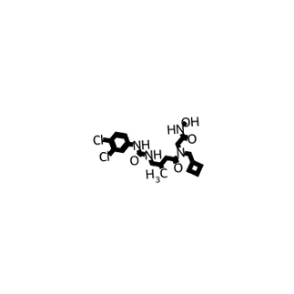 CC(CNC(=O)Nc1ccc(Cl)c(Cl)c1)CC(=O)N(CC(=O)NO)CC1CCC1